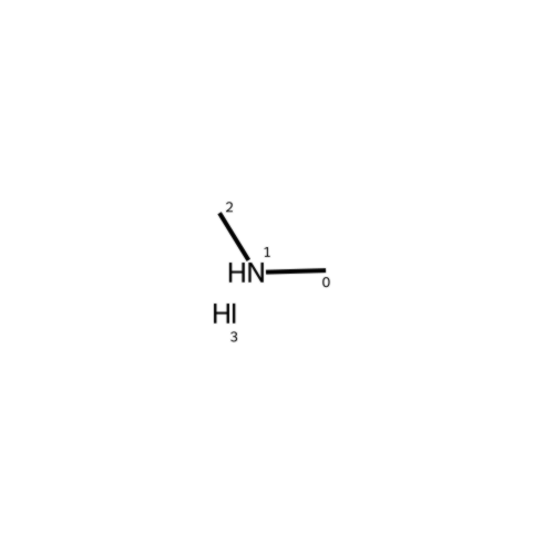 CNC.I